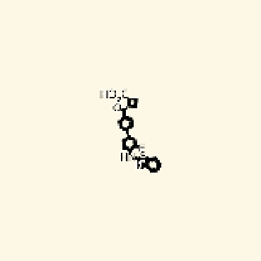 O=C(O)[C@@H]1CC[C@H]1C(=O)c1ccc(-c2ccc(Nc3nc4ccccc4s3)c(F)c2)cc1